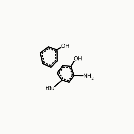 CC(C)(C)c1ccc(O)c(N)c1.Oc1ccccc1